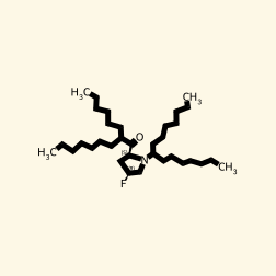 CCCCCCCC(CCCCCC)C(=O)[C@@H]1C[C@@H](F)CN1C(CCCCCCC)CCCCCCC